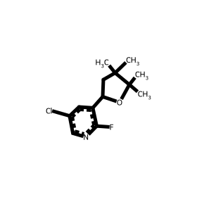 CC1(C)CC(c2cc(Cl)cnc2F)OC1(C)C